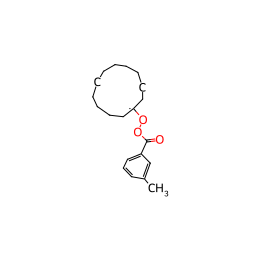 Cc1cccc(C(=O)OO[C]2CCCCCCCCCCC2)c1